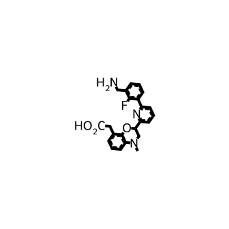 CN1CC(c2cccc(-c3cccc(CN)c3F)n2)Oc2c(CC(=O)O)cccc21